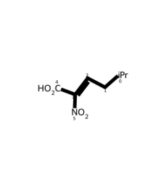 CC(C)CC=C(C(=O)O)[N+](=O)[O-]